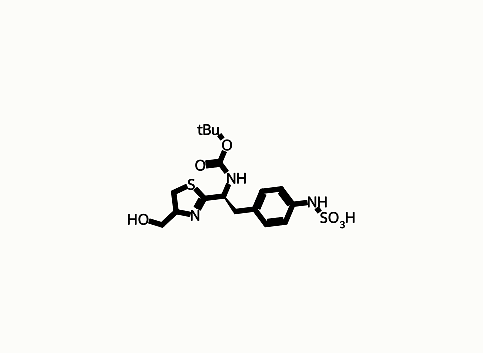 CC(C)(C)OC(=O)N[C@@H](Cc1ccc(NS(=O)(=O)O)cc1)C1=NC(CO)CS1